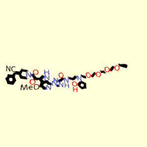 C#CCOCCOCCOCCOCCN(CCCNC(=O)c1ncn(-c2ncc(OC)c3c(C(=O)C(=O)N4CCC(=C(C#N)c5ccccc5)CC4)c[nH]c23)n1)C1CCCC1O